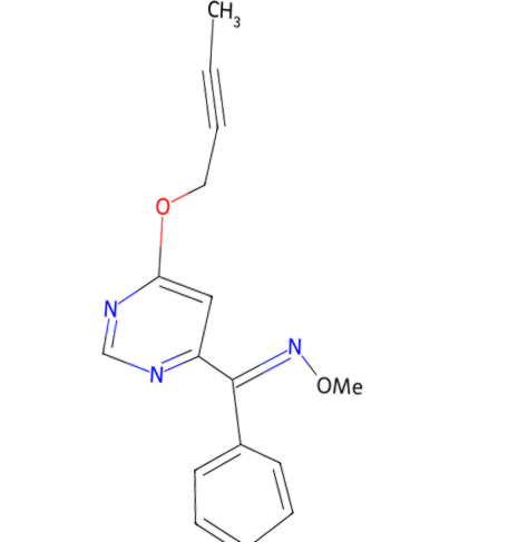 CC#CCOc1cc(C(=NOC)c2ccccc2)ncn1